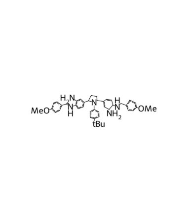 COc1ccc(CNc2ccc(C3CCC(C4=CC(N)C(NCc5ccc(OC)cc5)C=C4)N3c3ccc(C(C)(C)C)cc3)cc2N)cc1